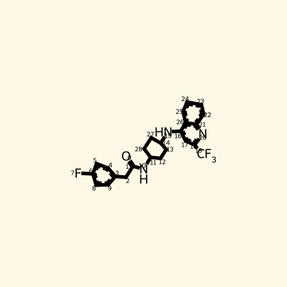 O=C(Cc1ccc(F)cc1)NC1CCC(Nc2cc(C(F)(F)F)nc3ccccc23)CC1